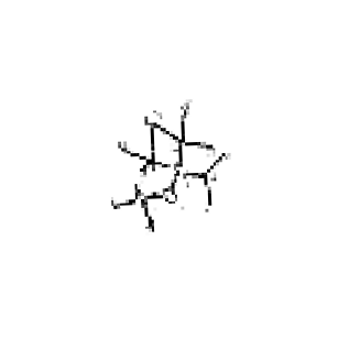 CC(C)[Si](O[Si](C)(C)C)(C(C)(C)C)C(C)(C)C